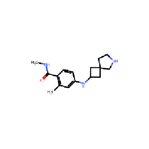 CNC(=O)c1ccc(NC2CC3(CCNC3)C2)cc1C